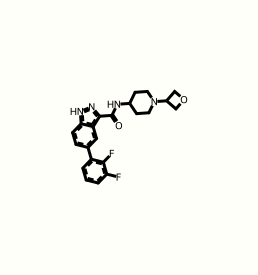 O=C(NC1CCN(C2COC2)CC1)c1n[nH]c2ccc(-c3cccc(F)c3F)cc12